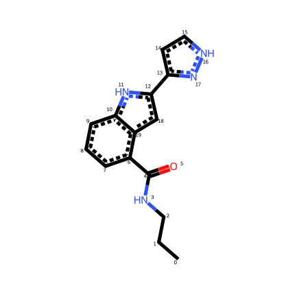 CCCNC(=O)c1cccc2[nH]c(-c3cc[nH]n3)cc12